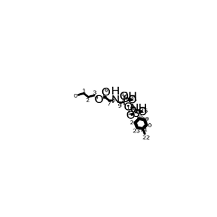 CCCCOC(=O)CNCP(=O)(O)ONS(=O)(=O)c1ccc(C)cc1